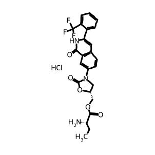 CC[C@H](N)C(=O)OC[C@H]1CN(c2ccc3cc(-c4ccccc4C(F)(F)F)[nH]c(=O)c3c2)C(=O)O1.Cl